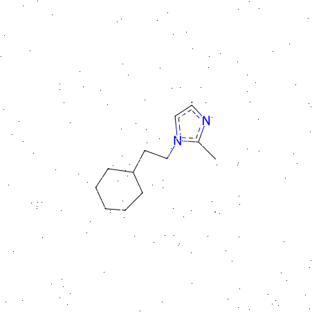 Cc1n[c]cn1CCC1CCCCC1